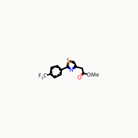 COC(=O)Cc1csc(-c2ccc(C(F)(F)F)cc2)n1